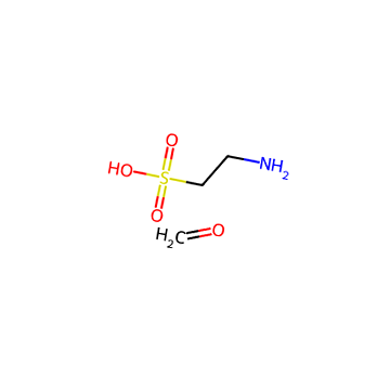 C=O.NCCS(=O)(=O)O